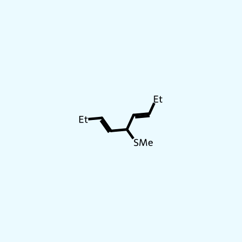 CCC=CC(C=CCC)SC